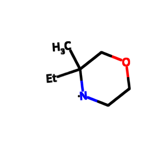 CCC1(C)COCC[N]1